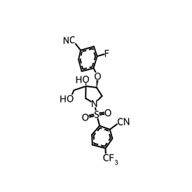 N#Cc1ccc(O[C@H]2CN(S(=O)(=O)c3ccc(C(F)(F)F)cc3C#N)C[C@@]2(O)CO)c(F)c1